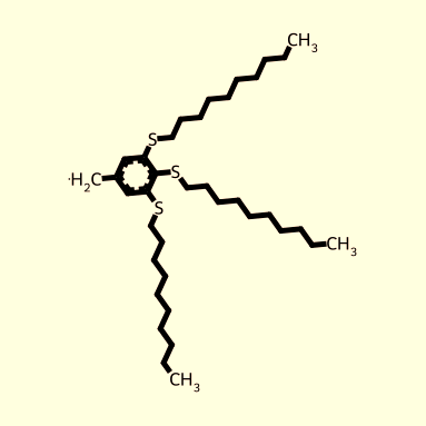 [CH2]c1cc(SCCCCCCCCCC)c(SCCCCCCCCCC)c(SCCCCCCCCCC)c1